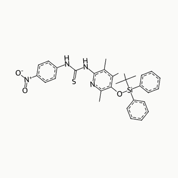 Cc1nc(NC(=S)Nc2ccc([N+](=O)[O-])cc2)c(C)c(C)c1O[Si](c1ccccc1)(c1ccccc1)C(C)(C)C